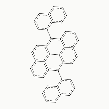 c1ccc2c(-n3c4ccc5cccc6c5c4-c4c5c(cccc53)ccc4n6-c3cccc4ccccc34)cccc2c1